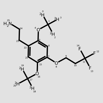 [2H]C([2H])([2H])Oc1cc(OCCC(F)(F)F)c(OC([2H])([2H])[2H])cc1CCN